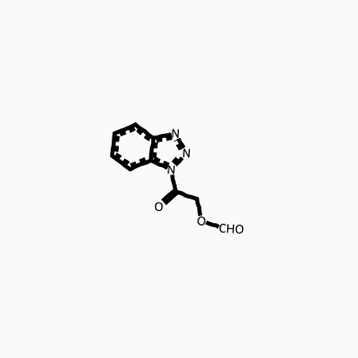 O=COCC(=O)n1nnc2ccccc21